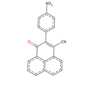 N#CC1=C(c2ccc([N+](=O)[O-])cc2)C(=O)c2cccc3cccc1c23